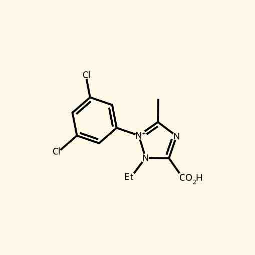 CCn1c(C(=O)O)nc(C)[n+]1-c1cc(Cl)cc(Cl)c1